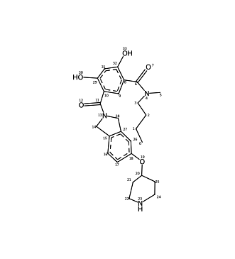 CCCCN(C)C(=O)c1cc(C(=O)N2Cc3ccc(OC4CCNCC4)cc3C2)c(O)cc1O